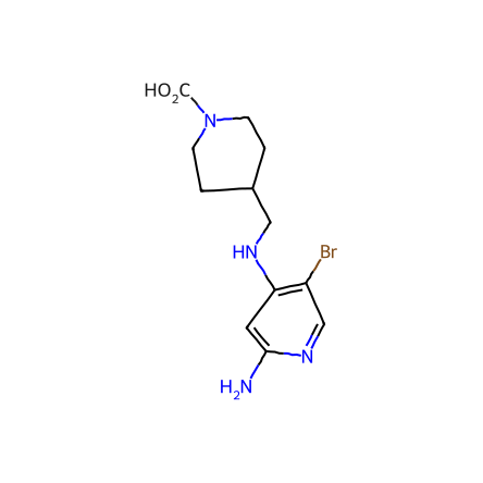 Nc1cc(NCC2CCN(C(=O)O)CC2)c(Br)cn1